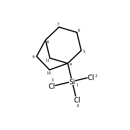 Cl[Si](Cl)(Cl)C12CCCC(CC1)C2